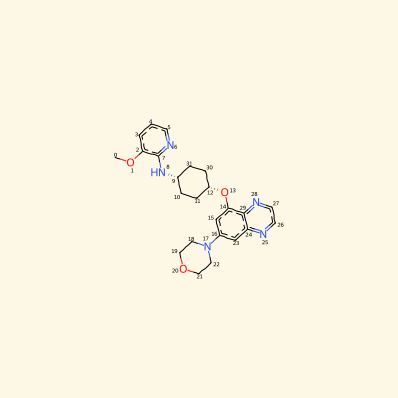 COc1cccnc1N[C@H]1CC[C@@H](Oc2cc(N3CCOCC3)cc3nccnc23)CC1